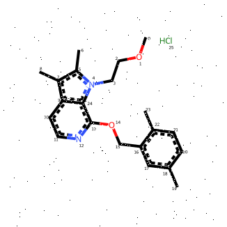 COCCn1c(C)c(C)c2ccnc(OCc3cc(C)ccc3C)c21.Cl